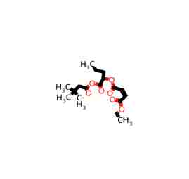 CCCC(OC(=O)/C=C\C(=O)OCC)C(=O)OC(=O)CC(C)(C)C